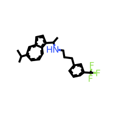 CC(C)c1cccc2c(C(C)NCCCc3cccc(C(F)(F)F)c3)ccc-2c1